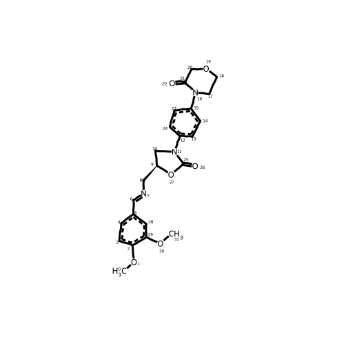 COc1ccc(/C=N/C[C@H]2CN(c3ccc(N4CCOCC4=O)cc3)C(=O)O2)cc1OC